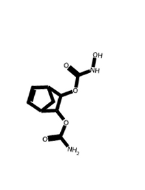 NC(=O)OC1C2C=CC(C2)C1OC(=O)NO